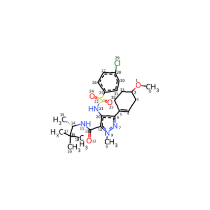 COC1CC=C(c2nn(C)c(C(=O)N[C@@H](C)C(C)(C)C)c2NS(=O)(=O)c2ccc(Cl)cc2)CC1